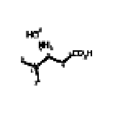 CN(C)CCC(=O)O.Cl.N